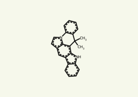 CC1(C)c2ccccc2-n2ccc3cc4c([nH]c5ccccc54)c1c32